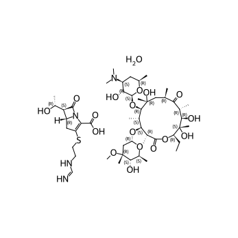 CC[C@H]1OC(=O)[C@H](C)[C@@H](O[C@H]2C[C@@](C)(OC)[C@@H](O)[C@H](C)O2)[C@H](C)[C@@H](O[C@@H]2O[C@H](C)C[C@H](N(C)C)[C@H]2O)[C@](C)(O)C[C@@H](C)C(=O)[C@H](C)[C@@H](O)[C@]1(C)O.C[C@@H](O)[C@H]1C(=O)N2C(C(=O)O)=C(SCCNC=N)C[C@H]12.O